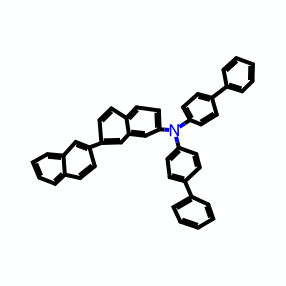 c1ccc(-c2ccc(N(c3ccc(-c4ccccc4)cc3)c3ccc4ccc(-c5ccc6ccccc6c5)cc4c3)cc2)cc1